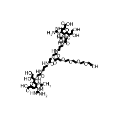 C#CCOCCOCCOCCOCCC(=O)N(CC(=O)NCCCNC(=O)CO[C@@H]([C@@H]1OC(C(=O)O)=C[C@H](NC(=N)N)[C@H]1NC(C)=O)[C@H](O)CO)CC(=O)NCCCNC(=O)CO[C@@H]([C@@H]1OC(C(=O)O)=C[C@H](NC(=N)N)[C@H]1NC(C)=O)[C@H](O)CO